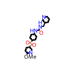 COc1ccc(S(=O)(=O)c2ccc(NC(=O)NCc3cccnc3)cc2)cn1